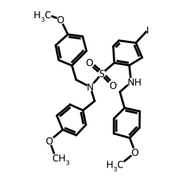 COc1ccc(CNc2cc(I)ccc2S(=O)(=O)N(Cc2ccc(OC)cc2)Cc2ccc(OC)cc2)cc1